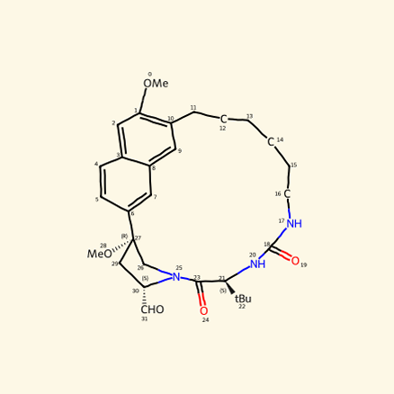 COc1cc2ccc3cc2cc1CCCCCCNC(=O)N[C@@H](C(C)(C)C)C(=O)N1C[C@@]3(OC)C[C@H]1C=O